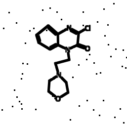 O=c1c(Cl)nc2ccccc2n1CCN1CCOCC1